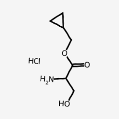 Cl.NC(CO)C(=O)OCC1CC1